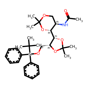 CC(=O)N[C@@H]1COC(C)(C)O[C@H]1[C@@H]1OC(C)(C)O[C@@H]1CO[Si](c1ccccc1)(c1ccccc1)C(C)(C)C